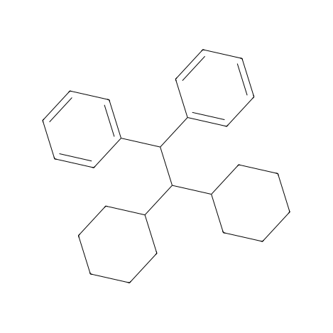 c1ccc(C(c2ccccc2)C(C2CCCCC2)C2CCCCC2)cc1